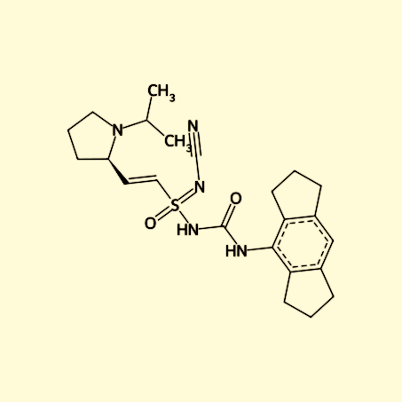 CC(C)N1CCC[C@@H]1/C=C/S(=O)(=NC#N)NC(=O)Nc1c2c(cc3c1CCC3)CCC2